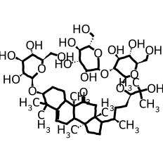 C[C@H](CC[C@@H](O[C@@H]1O[C@H](CO)[C@@H](O)[C@H](O)[C@H]1O[C@H]1O[C@@H](CO)[C@H](O)[C@@H](O)[C@@H]1O)C(C)(C)O)C1CC[C@@]2(C)C3CC=C4C(CC[C@H](O[C@@H]5O[C@H](CO)[C@@H](O)[C@H](O)[C@H]5O)C4(C)C)[C@]3(C)C(=O)C[C@]12C